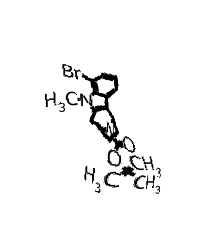 Cn1c2c(c3cccc(Br)c31)C1CCC(C2)N1C(=O)OC(C)(C)C